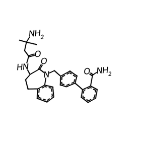 CC(C)(N)CC(=O)NC1CCc2ccccc2N(Cc2ccc(-c3ccccc3C(N)=O)cc2)C1=O